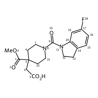 COC(=O)C1(CC(=O)O)CCN(C(=O)N2CCc3ccc(F)cc32)CC1